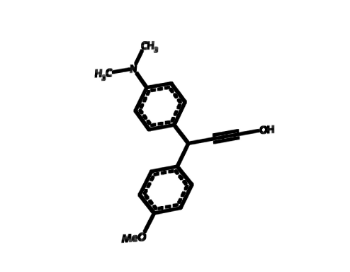 COc1ccc(C(C#CO)c2ccc(N(C)C)cc2)cc1